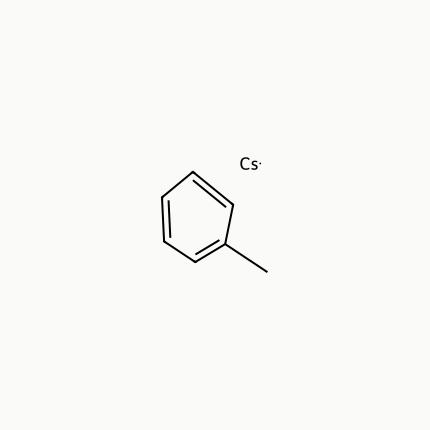 Cc1ccccc1.[Cs]